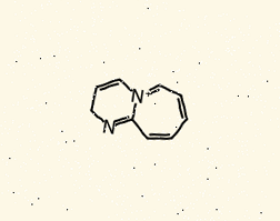 C1=CC=[N+]2C=CCN=C2C=C1